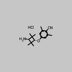 Cc1cc(O[C@H]2C(C)(C)[C@H](N)C2(C)C)cc(C)c1C#N.Cl